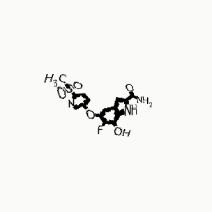 CS(=O)(=O)c1ccc(Oc2cc3cc(C(N)=O)[nH]c3c(O)c2F)cn1